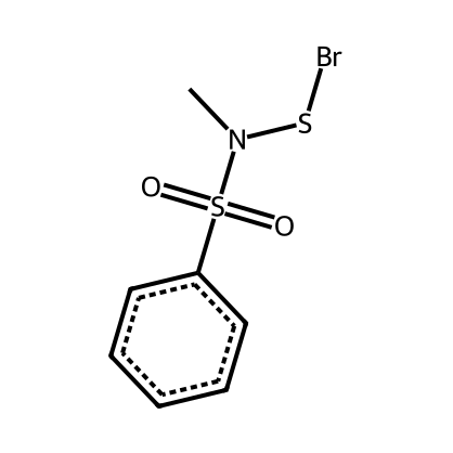 CN(SBr)S(=O)(=O)c1ccccc1